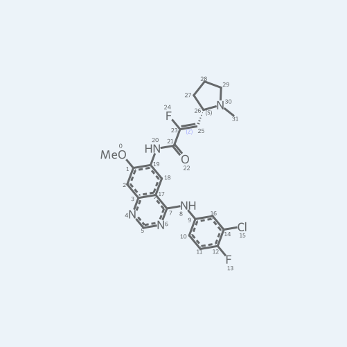 COc1cc2ncnc(Nc3ccc(F)c(Cl)c3)c2cc1NC(=O)/C(F)=C/[C@@H]1CCCN1C